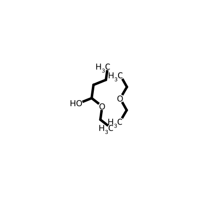 CCCC(O)OCC.CCOCC